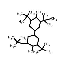 CC(C)(C)CC1CC(C2CC(C(C)(C)C)C(O)C(C(C)(C)C)C2)CC(C(C)(C)C)C1O